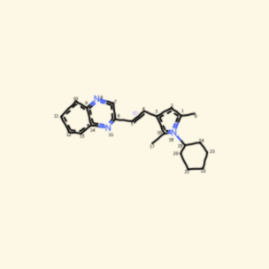 Cc1cc(/C=C/c2cnc3ccccc3n2)c(C)n1C1CCCCC1